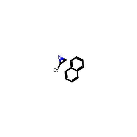 CCC1C=N1.c1ccc2ccccc2c1